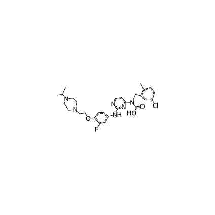 Cc1ccc(Cl)cc1CN(C(=O)O)c1ccnc(Nc2ccc(OCCN3CCN(C(C)C)CC3)c(F)c2)n1